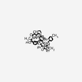 CCC(C)c1cccc([C@H](O)[C@@H](C)NC(=O)[C@H](C)[C@@H](OC)[C@@H]2CCCN2C(=O)C[C@@H](OC)[C@H]([C@@H](C)CC)N(C)C(=O)[C@@H](NC(=O)[C@H](C(C)C)N(C)C(=O)OCc2ccc(C)cc2)C(C)C)c1